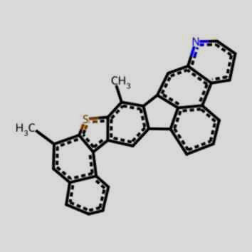 Cc1c2c(cc3c1sc1c(C)cc4ccccc4c13)-c1cccc3c1c-2cc1ncccc13